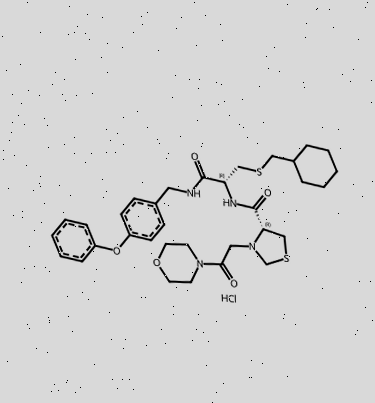 Cl.O=C(NCc1ccc(Oc2ccccc2)cc1)[C@H](CSCC1CCCCC1)NC(=O)[C@@H]1CSCN1CC(=O)N1CCOCC1